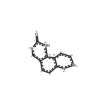 O=c1ncc2ccc3nnccc3c2[nH]1